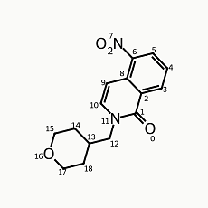 O=c1c2cccc([N+](=O)[O-])c2ccn1CC1CCOCC1